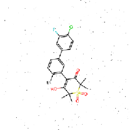 CCc1ccc(-c2ccc(Cl)c(F)c2)cc1C1=C(O)C(C)(C)S(=O)(=O)C(C)(C)C1=O